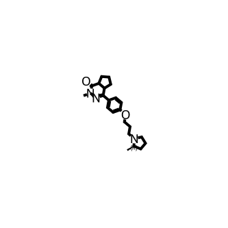 C[C@@H]1CCCN1CCCOc1ccc(C2=NN(C)C(=O)C3CCCC23)cc1